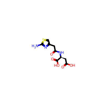 Nc1nc(CC(=O)N[C@@H](CC(=O)O)C(=O)O)cs1